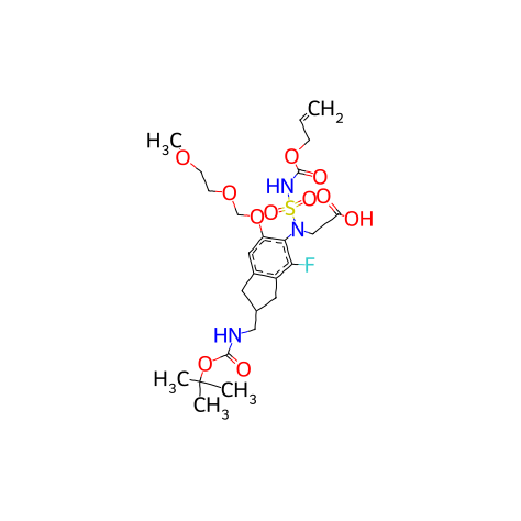 C=CCOC(=O)NS(=O)(=O)N(CC(=O)O)c1c(OCOCCOC)cc2c(c1F)CC(CNC(=O)OC(C)(C)C)C2